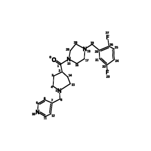 O=C(C1CCN(Cc2ccncc2)CC1)N1CCN(Cc2cc(F)ccc2F)CC1